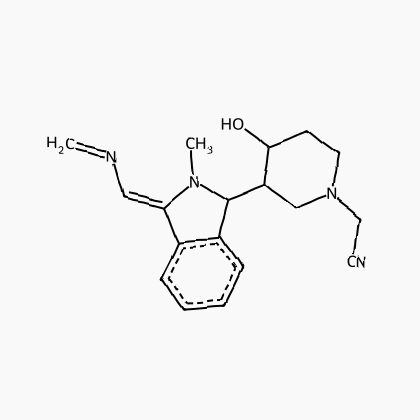 C=N/C=C1/c2ccccc2C(C2CN(CC#N)CCC2O)N1C